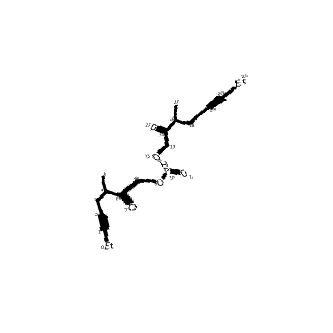 CCC#CCC(C)C(=O)CO[PH](=O)OCC(=O)C(C)CC#CCC